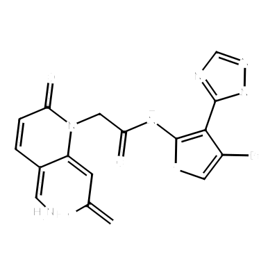 C=C(/C=c1\c(=C/N)ccc(=O)n1CC(=O)Nc1scc(Br)c1-c1ncn[nH]1)C(F)(F)F